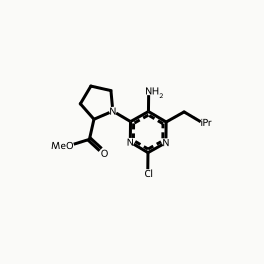 COC(=O)C1CCCN1c1nc(Cl)nc(CC(C)C)c1N